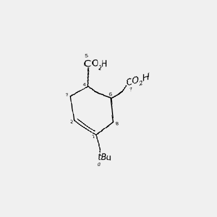 CC(C)(C)C1=CCC(C(=O)O)C(C(=O)O)C1